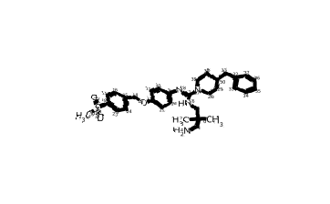 CC(C)(CN)CN/C(=N\c1ccc(OCc2ccc(S(C)(=O)=O)cc2)cc1)N1CCC(Cc2ccccc2)CC1